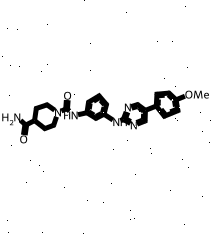 COc1ccc(-c2cnc(Nc3cccc(NC(=O)N4CCC(C(N)=O)CC4)c3)nc2)cc1